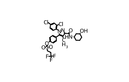 Cc1c(C(=O)N[C@H]2CCC[C@H](O)C2)nn(-c2ccc(Cl)cc2Cl)c1-c1ccc(OS(=O)(=O)CCC(F)(F)F)cc1